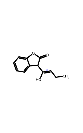 CC/C=C(\O)C1C(=O)Oc2ccccc21